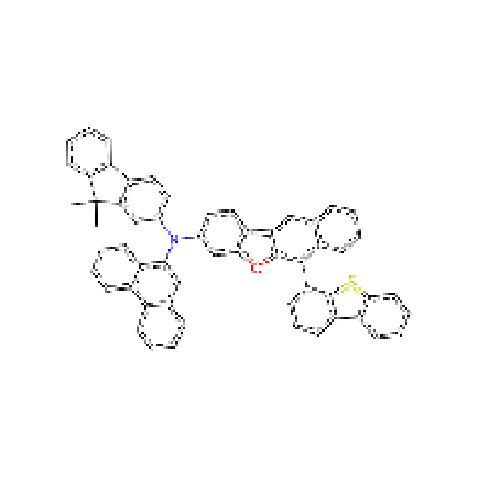 CC1(C)c2ccccc2-c2ccc(N(c3ccc4c(c3)oc3c(-c5cccc6c5sc5ccccc56)c5ccccc5cc34)c3cc4ccccc4c4ccccc34)cc21